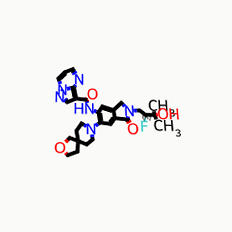 CC(C)(O)[C@H](F)CN1Cc2cc(NC(=O)c3cnn4cccnc34)c(N3CCC4(CCOC4)CC3)cc2C1=O